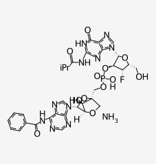 CC(C)C(=O)Nc1nc2c(ncn2[C@@H]2O[C@H](CO)[C@H](F)[C@H]2OP(=O)(O)OC[C@@]23CO[C@@H]([C@H](n4cnc5c(NC(=O)c6ccccc6)ncnc54)O2)[C@@H]3O)c(=O)[nH]1.N